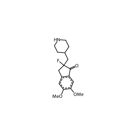 COc1cc2c(cc1OC)C(=O)C(F)(CC1CCNCC1)C2